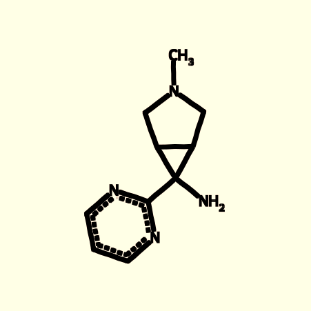 CN1CC2C(C1)C2(N)c1ncccn1